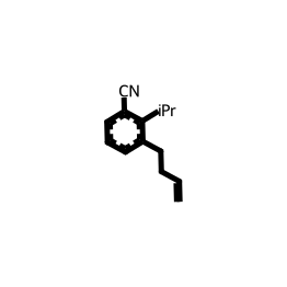 C=CCCc1cccc(C#N)c1C(C)C